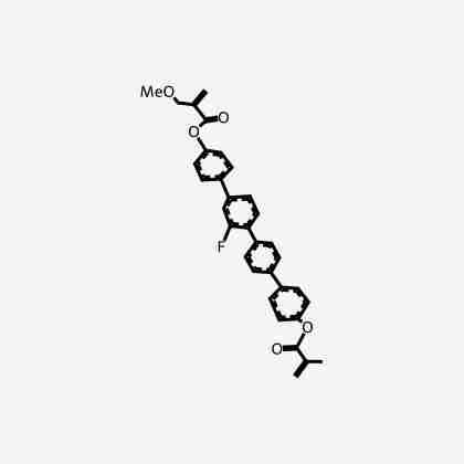 C=C(C)C(=O)Oc1ccc(-c2ccc(-c3ccc(-c4ccc(OC(=O)C(=C)COC)cc4)cc3F)cc2)cc1